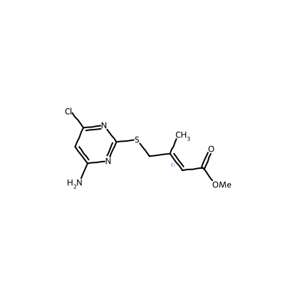 COC(=O)/C=C(\C)CSc1nc(N)cc(Cl)n1